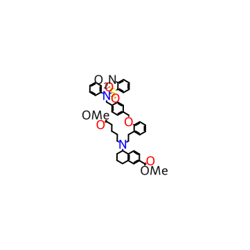 COC(=O)CCCCN(CCc1ccccc1OCc1ccc(CN(c2ccccc2)S(=O)(=O)c2ccccc2[N+](=O)[O-])cc1)C1CCCc2cc(C(=O)OC)ccc21